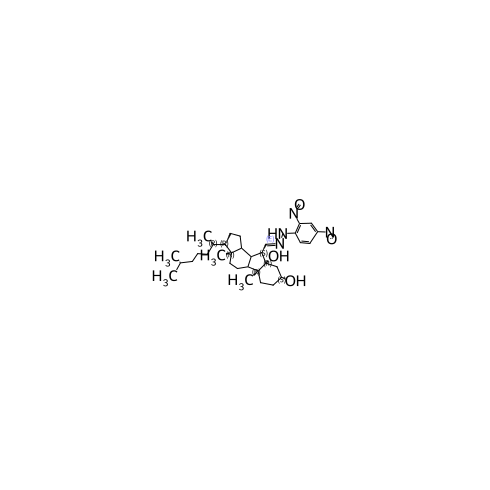 CC(C)CCC[C@@H](C)[C@H]1CCC2C3C(CC[C@@]21C)[C@@]1(C)CC[C@H](O)C[C@@]1(O)[C@@H]3/C=N/Nc1ccc(N=O)cc1N=O